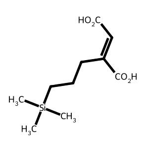 C[Si](C)(C)CCCC(=CC(=O)O)C(=O)O